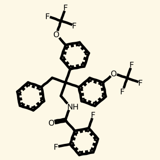 O=C(NCC(Cc1ccccc1)(c1cccc(OC(F)(F)F)c1)c1cccc(OC(F)(F)F)c1)c1c(F)cccc1F